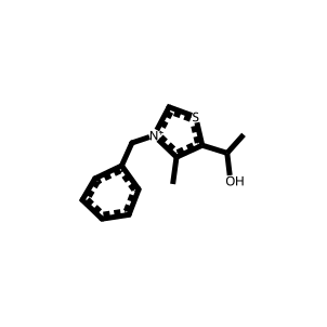 Cc1c(C(C)O)sc[n+]1Cc1ccccc1